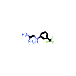 NC(N)=CNc1cccc(C(F)(F)F)c1